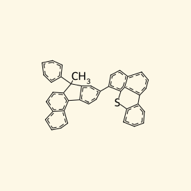 CC1(c2ccccc2)c2cc(-c3ccc4cccc5c4c3Sc3ccccc3-5)ccc2-c2c1ccc1ccccc21